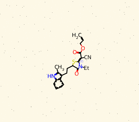 C=CCOC(=O)/C(C#N)=C1\SC(CCc2c(C)[nH]c3ccccc23)C(=O)N1CC